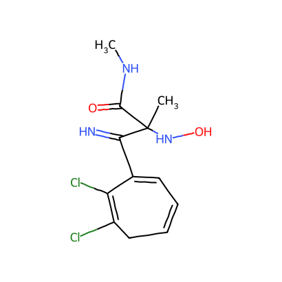 CNC(=O)C(C)(NO)C(=N)C1=CC=CCC(Cl)=C1Cl